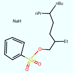 CCCCC(CCC)CCC(CC)COS(=O)(=O)c1ccccc1.[NaH]